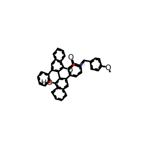 COc1ccc(/C=C/C(=O)Oc2c(-c3c(-c4ccccc4)cc4ccccc4c3O)c(-c3ccccc3)cc3ccccc23)cc1